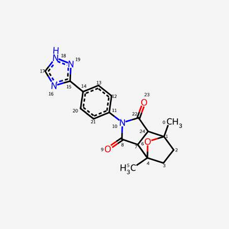 CC12CCC(C)(O1)C1C(=O)N(c3ccc(-c4nc[nH]n4)cc3)C(=O)C12